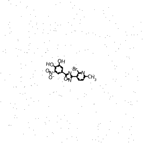 Cc1ccc(-c2noc(-c3cc(O)c(O)c([N+](=O)[O-])c3)n2)c(Br)n1